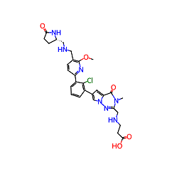 COc1nc(-c2cccc(-c3cc4c(=O)n(C)c(CNCCC(=O)O)nn4c3)c2Cl)ccc1CNC[C@@H]1CCC(=O)N1